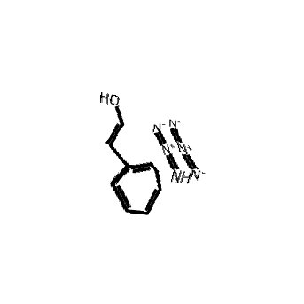 OC=Cc1ccccc1.[N-]=[N+]=N.[N-]=[N+]=[N-]